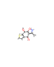 CCc1noc2c1C(=O)c1ccsc1C2=O